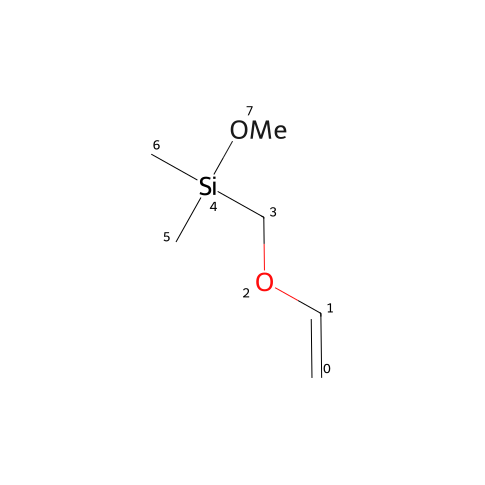 C=COC[Si](C)(C)OC